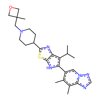 Cc1c(-c2[nH]c3sc(C4CCN(CC5(C)COC5)CC4)nc3c2C(C)C)cn2ncnc2c1C